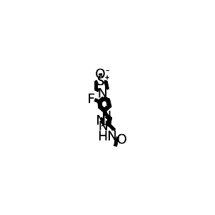 CC(=O)NCc1cn(-c2ccc(N3CC[S+]([O-])CC3)c(F)c2)nn1